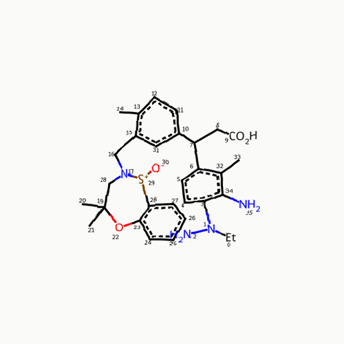 CCN(N)c1ccc(C(CC(=O)O)c2ccc(C)c(CN3CC(C)(C)Oc4ccccc4[S+]3[O-])c2)c(C)c1N